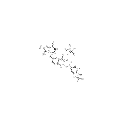 CS(=O)(=O)Nc1ccc(N2CCN(C(=O)c3cc(Cc4c[nH]c(=O)c5cc(Cl)c(Cl)n45)ccc3F)CC2)nn1.O=C(O)C(F)(F)F